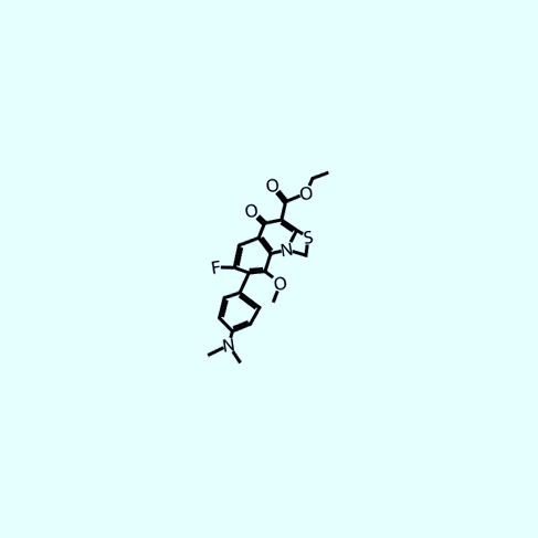 CCOC(=O)c1c2n(c3c(OC)c(-c4ccc(N(C)C)cc4)c(F)cc3c1=O)CS2